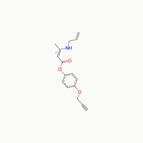 C#CCOc1ccc(OC(=O)/C=C(/C)NCC=C)cc1